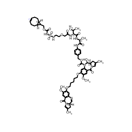 COc1cc2c(cc1OCCCCCOc1cc3c(cc1OC)C(=O)N1C=C(C)C[C@H]1[C@H](O)N3C(=O)OCc1ccc(NC(=O)[C@H](C)NC(=O)[C@@H](NC(=O)COCCNS(=O)(=O)NC(=O)OCC3[C@H]4CC/C=C\CC[C@@H]34)C(C)C)cc1)N=C[C@@H]1CC(C)=CN1C2=O